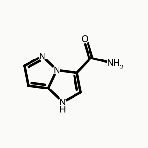 NC(=O)c1c[nH]c2ccnn12